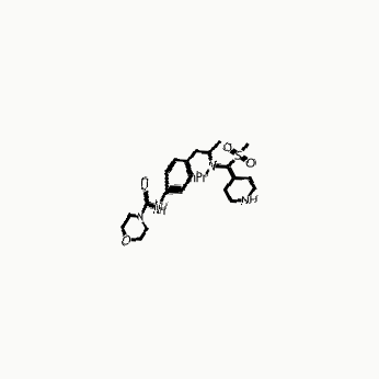 CCCN(C(C)Cc1ccc(NC(=O)N2CCOCC2)cc1)C(C1CCNCC1)S(C)(=O)=O